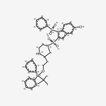 CC(C)(C)[Si](OCCC1CN(S(=O)(=O)c2cc3cc(Cl)ccc3n2S(=O)(=O)c2ccccc2)CCN1)(c1ccccc1)c1ccccc1